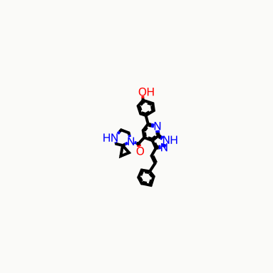 O=C(c1cc(-c2ccc(O)cc2)nc2[nH]nc(C=Cc3ccccc3)c12)N1CCNCC12CC2